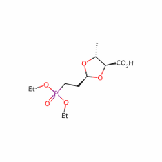 CCOP(=O)(CC[C@@H]1O[C@H](C(=O)O)[C@@H](C)O1)OCC